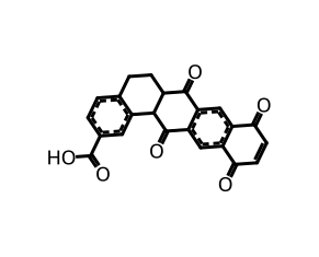 O=C(O)c1ccc2c(c1)C1C(=O)c3cc4c(cc3C(=O)C1CC2)C(=O)C=CC4=O